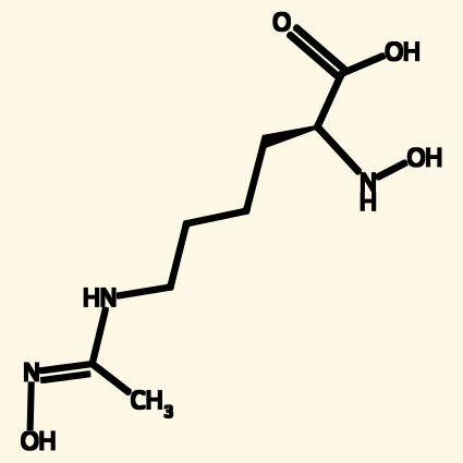 C/C(=N\O)NCCCC[C@H](NO)C(=O)O